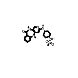 CN1C(=O)c2ccccc2N(C)c2cc(N[C@H]3CC[C@H](NS(C)(=O)=O)CC3)ncc21